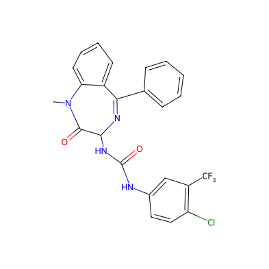 CN1C(=O)C(NC(=O)Nc2ccc(Cl)c(C(F)(F)F)c2)N=C(c2ccccc2)c2ccccc21